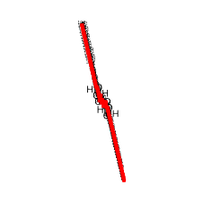 CCCCCCCCCCCCCCCCCCCCCCCCCCCCCCCCCCCCCCCCCCCCCCCC(=O)NCCNC(=O)c1ccc2c(c1)c(=O)c1cc3c(cc12)c(=O)c1cc(C(=O)NCCNC(=O)CCCCCCCCCCCCCCCCCCCCCCCCCCCCCCCCCCCCCCCCCCCCCCC)ccc13